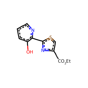 CCOC(=O)c1csc(-c2ncccc2O)n1